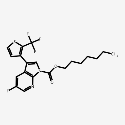 CCCCCCCOC(=O)n1cc(-c2ccsc2C(F)(F)F)c2cc(F)cnc21